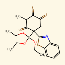 CCO[Si](OCC)(OCC)C1(c2nc3ccccc3s2)[CH]C(=S)C(=S)C(C)C1=S